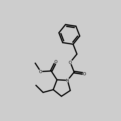 CCC1CCN(C(=O)OCc2ccccc2)C1C(=O)OC